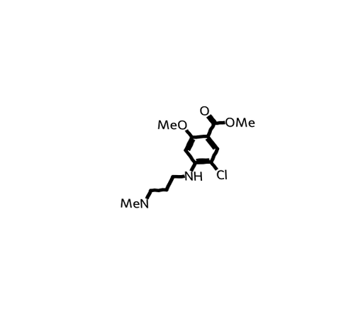 CNCCCNc1cc(OC)c(C(=O)OC)cc1Cl